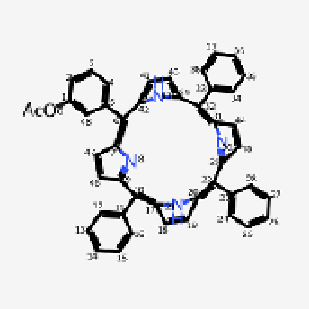 CC(=O)Oc1cccc(-c2c3nc(c(-c4ccccc4)c4ccc([nH]4)c(-c4ccccc4)c4nc(c(-c5ccccc5)c5ccc2[nH]5)C=C4)C=C3)c1